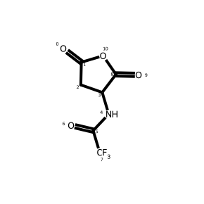 O=C1CC(NC(=O)C(F)(F)F)C(=O)O1